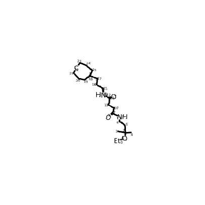 CCOC(C)(C)CCNC(=O)CCC(=O)NCCCC1CCCCCCC1